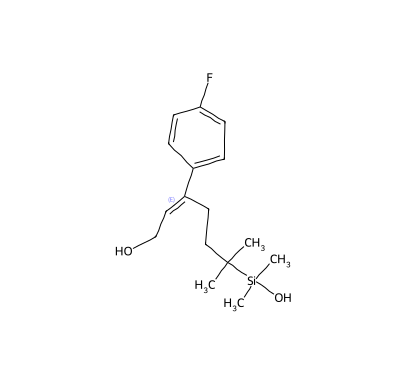 CC(C)(CC/C(=C\CO)c1ccc(F)cc1)[Si](C)(C)O